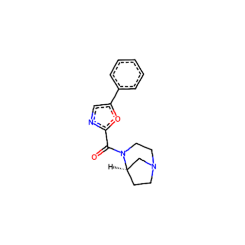 O=C(c1ncc(-c2ccccc2)o1)N1CCN2CC[C@@H]1C2